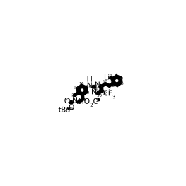 CC(=O)O.[Li][c]1ccccc1CCc1nc(Nc2ccc3c(c2)CCN(C(=O)OC(C)(C)C)C3)ncc1C(F)(F)F